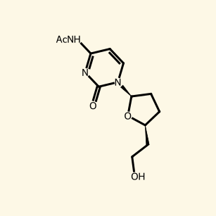 CC(=O)Nc1ccn([C@H]2CC[C@@H](CCO)O2)c(=O)n1